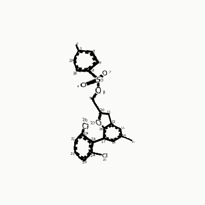 Cc1ccc(S(=O)(=O)OCC2Cc3cc(C)cc(-c4c(Cl)cccc4Cl)c3O2)cc1